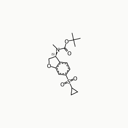 CN(C(=O)OC(C)(C)C)[C@@H]1COc2cc(S(=O)(=O)C3CC3)ccc21